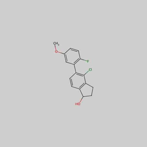 COc1ccc(F)c(-c2ccc3c(c2Cl)CCC3O)c1